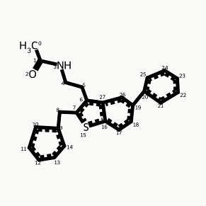 CC(=O)NCCc1c(Cc2ccccc2)sc2ccc(-c3ccccc3)cc12